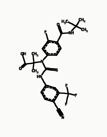 CC(C)(C)NC(=O)c1ccc(N(C(=S)Nc2ccc(C#N)c(C(F)(F)F)c2)C(C)(C)C(=O)O)cc1F